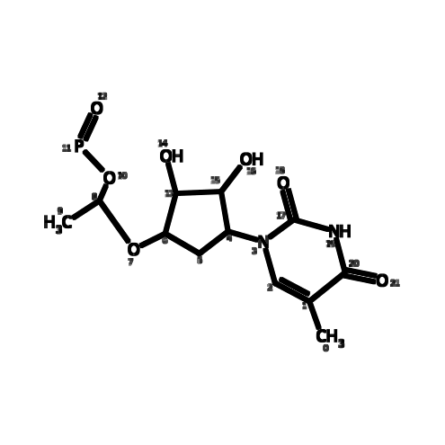 Cc1cn(C2CC(OC(C)OP=O)C(O)C2O)c(=O)[nH]c1=O